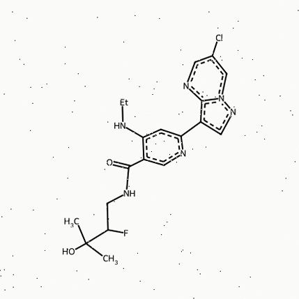 CCNc1cc(-c2cnn3cc(Cl)cnc23)ncc1C(=O)NCC(F)C(C)(C)O